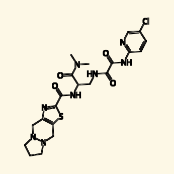 CN(C)C(=O)C(CNC(=O)C(=O)Nc1ccc(Cl)cn1)NC(=O)c1nc2c(s1)CN1CCCN1C2